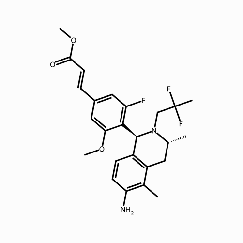 COC(=O)/C=C/c1cc(F)c([C@@H]2c3ccc(N)c(C)c3C[C@@H](C)N2CC(C)(F)F)c(OC)c1